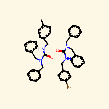 Cc1ccc(CNC(=O)N(Cc2ccccc2)Cc2ccccc2)cc1.O=C(NCc1ccc(Br)cc1)N(Cc1ccccc1)Cc1ccccc1